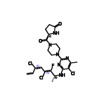 C=C/C(Cl)=C\C(Cl)=C(/F)[C@@H](C)Nc1nc(N2CCN(C(=O)[C@H]3CCC(=O)N3)CC2)nc(C)c1Cl